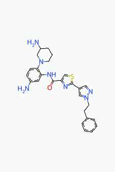 Nc1ccc(N2CCCC(N)C2)c(NC(=O)c2csc(-c3cnn(CCc4ccccc4)c3)n2)c1